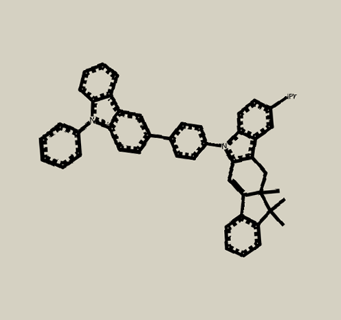 CC(C)c1ccc2c(c1)c1c(n2-c2ccc(-c3ccc4c(c3)c3ccccc3n4-c3ccccc3)cc2)C=C2c3ccccc3C(C)(C)C2(C)C1